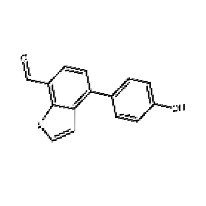 O=Cc1ccc(-c2ccc(O)cc2)c2ccsc12